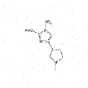 COc1nn(C2CCN(C)C2)cc1[N+](=O)[O-]